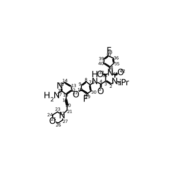 CC(C)n1cc(C(=O)Nc2ccc(Oc3ccnc(N)c3C#CCN3CCOCC3)c(F)c2)c(=O)n(-c2ccc(F)cc2)c1=O